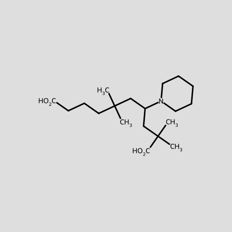 CC(C)(CCCC(=O)O)CC(CC(C)(C)C(=O)O)N1CCCCC1